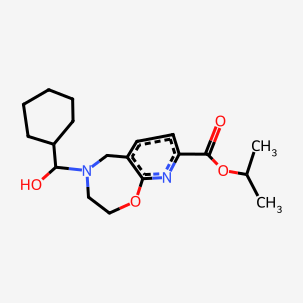 CC(C)OC(=O)c1ccc2c(n1)OCCN(C(O)C1CCCCC1)C2